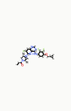 C=CC(=O)N1C[C@@H]2C[C@H]1CN2c1nc2c(Nc3ccc(OCC4CC4)c(F)c3F)ncnc2cc1F